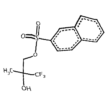 CC(O)(COS(=O)(=O)c1ccc2ccccc2c1)C(F)(F)F